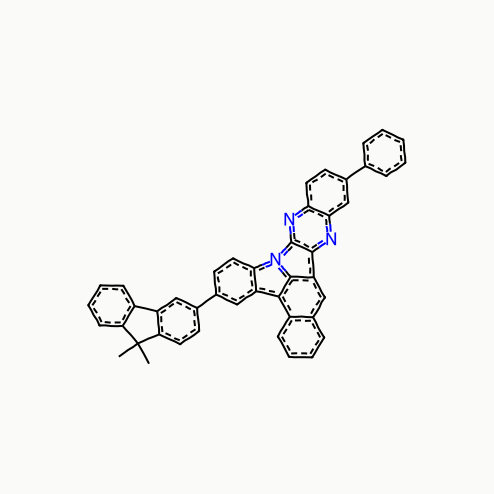 CC1(C)c2ccccc2-c2cc(-c3ccc4c(c3)c3c5ccccc5cc5c6nc7cc(-c8ccccc8)ccc7nc6n4c53)ccc21